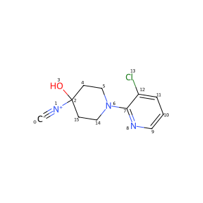 [C-]#[N+]C1(O)CCN(c2ncccc2Cl)CC1